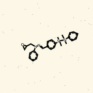 C[Si](C)(c1ccccc1)[Si](C)(C)c1ccc(/C=N/N(CC2CO2)c2ccccc2)cc1